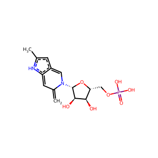 C=C1C=c2[nH]c(C)cc2=CN1[C@@H]1O[C@H](COP(=O)(O)O)[C@@H](O)[C@H]1O